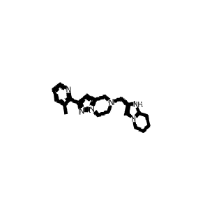 Cc1cccnc1-c1cc2n(n1)CCN(CC1=CN3CCCCC3N1)C2